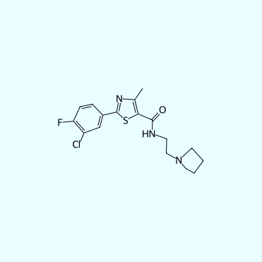 Cc1nc(-c2ccc(F)c(Cl)c2)sc1C(=O)NCCN1CCCC1